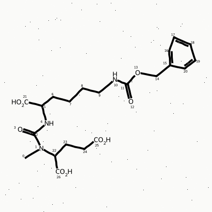 CN(C(=O)NC(CCCCNC(=O)OCc1ccccc1)C(=O)O)C(CCC(=O)O)C(=O)O